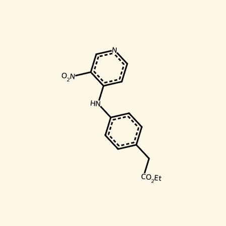 CCOC(=O)Cc1ccc(Nc2ccncc2[N+](=O)[O-])cc1